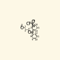 COCCCO[C@@H](c1ccccc1)C1CCCN(C(=O)Cl)C1